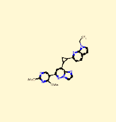 COc1ncc(-c2cc(C3CC3c3ccc4ccn(CC(F)(F)F)c4n3)c3nccn3n2)c(OC)n1